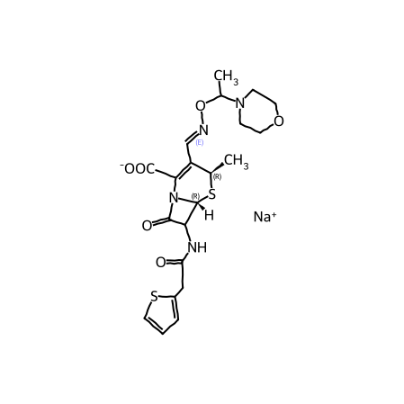 CC(O/N=C/C1=C(C(=O)[O-])N2C(=O)C(NC(=O)Cc3cccs3)[C@H]2S[C@@H]1C)N1CCOCC1.[Na+]